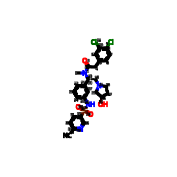 CN(C(=O)Cc1ccc(Cl)c(Cl)c1)[C@H](CN1CC[C@@H](O)C1)c1cccc(NS(=O)(=O)c2ccc(C#N)nc2)c1